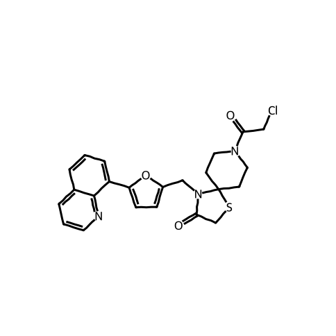 O=C(CCl)N1CCC2(CC1)SCC(=O)N2Cc1ccc(-c2cccc3cccnc23)o1